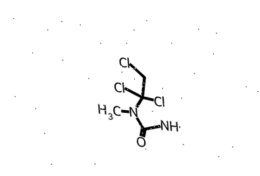 CN(C([NH])=O)C(Cl)(Cl)CCl